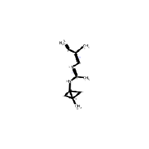 C=C/C(C)=C\N=C(/C)NC12CC1(C)C2